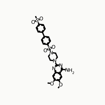 COc1cc2nc(N3CCN(S(=O)(=O)c4ccc(-c5ccc(S(C)(=O)=O)cc5)cc4)CC3)nc(N)c2cc1OC